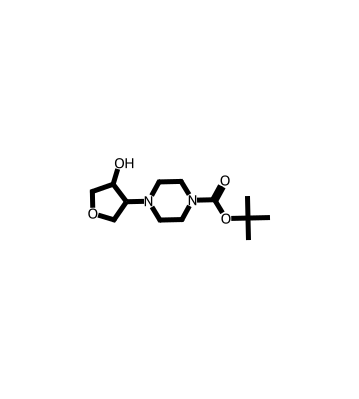 CC(C)(C)OC(=O)N1CCN(C2COCC2O)CC1